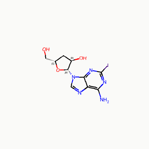 Nc1nc(I)nc2c1ncn2[C@@H]1O[C@H](CO)C[C@H]1O